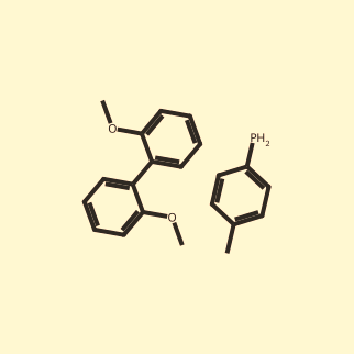 COc1ccccc1-c1ccccc1OC.Cc1ccc(P)cc1